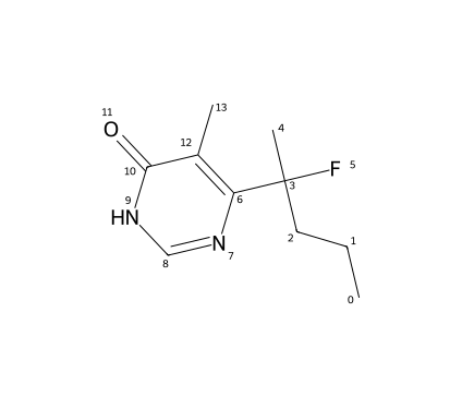 CCCC(C)(F)c1nc[nH]c(=O)c1C